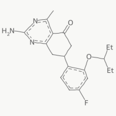 CCC(CC)Oc1cc(F)ccc1C1CC(=O)c2c(C)nc(N)nc2C1